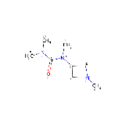 CN1CC(N(C)C(=O)N(C)C)C1